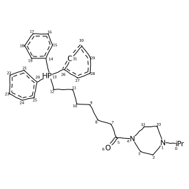 CC(C)N1CCN(C(=O)CCCCCC[PH](c2ccccc2)(c2ccccc2)c2ccccc2)CC1